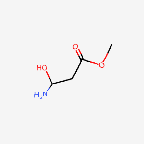 COC(=O)CC(N)O